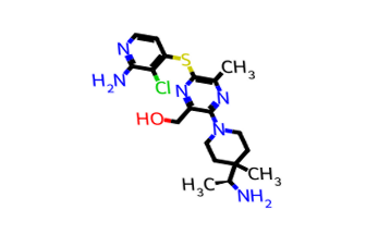 Cc1nc(N2CCC(C)([C@H](C)N)CC2)c(CO)nc1Sc1ccnc(N)c1Cl